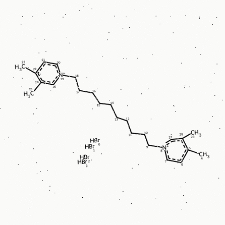 Br.Br.Br.Br.Cc1cc[n+](CCCCCCCCCC[n+]2ccc(C)c(C)c2)cc1C